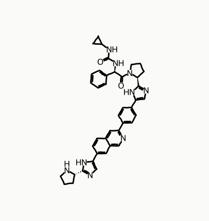 O=C(NC1CC1)N[C@@H](C(=O)N1CCC[C@H]1c1ncc(-c2ccc(-c3cc4ccc(-c5cnc([C@@H]6CCCN6)[nH]5)cc4cn3)cc2)[nH]1)c1ccccc1